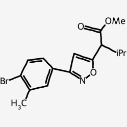 COC(=O)C(c1cc(-c2ccc(Br)c(C)c2)no1)C(C)C